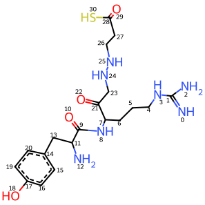 N=C(N)NCCCC(NC(=O)C(N)Cc1ccc(O)cc1)C(=O)CNNCCC(=O)S